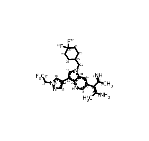 CC(=N)/C(=C(/C)N)c1cnc2c(-c3cnn(CC(F)(F)F)c3)cn(CC3CCC(F)(F)CC3)c2c1